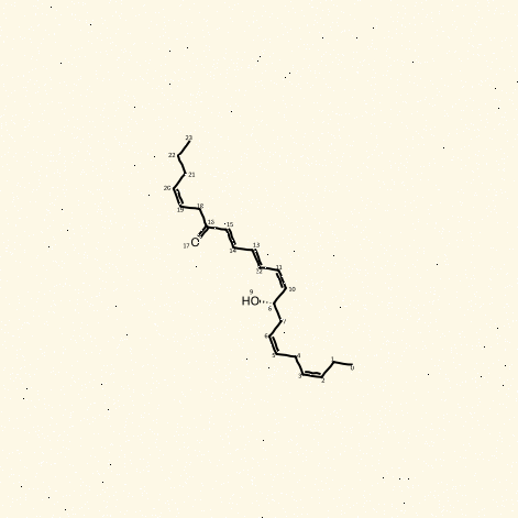 CC/C=C\C/C=C\C[C@H](O)\C=C/C=C/C=C/C(=O)C/C=C\CCC